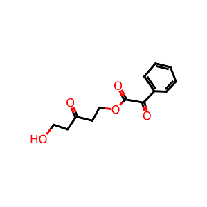 O=C(CCO)CCOC(=O)C(=O)c1ccccc1